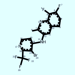 Cc1nc2c(F)c(F)ccc2cc1Nc1ccnc(C(F)(F)F)c1Br